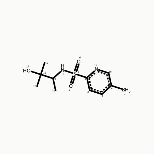 Bc1ccc(S(=O)(=O)NC(C)C(C)(C)O)nc1